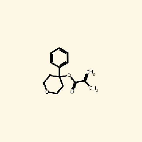 C=C(C)C(=O)OC1(c2ccccc2)CCOCC1